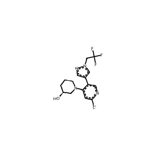 O[C@H]1CCCN(c2cc(Cl)ncc2-c2cnn(CC(F)(F)F)c2)C1